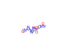 CN(C)C(=O)N1CCC(O)(Cn2cnc3c(cnn3-c3cncc(N4CCOCC4)c3)c2=O)CC1